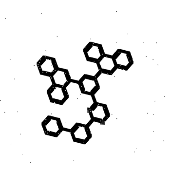 c1ccc(-c2cccc(-c3nccc(-c4cc(-c5cc6ccccc6c6ccccc56)cc(-c5cc6ccccc6c6ccccc56)c4)n3)c2)cc1